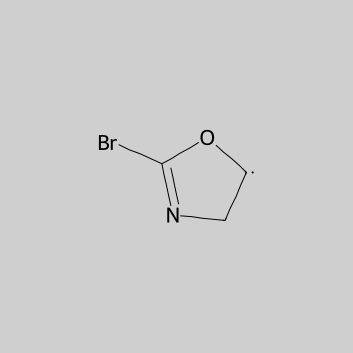 BrC1=NC[CH]O1